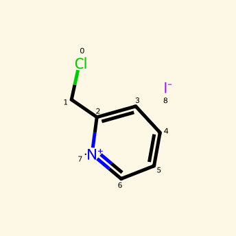 ClCC1=CC=CC=[N+]1.[I-]